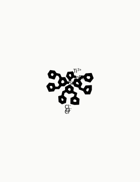 CCCCC1=[C]([Ti+3])CC=C1[Si](c1cc(Cc2ccccc2)cc(Cc2ccccc2)c1)(c1cc(Cc2ccccc2)cc(Cc2ccccc2)c1)c1cc(Cc2ccccc2)cc(Cc2ccccc2)c1.[Cl-].[Cl-].[Cl-]